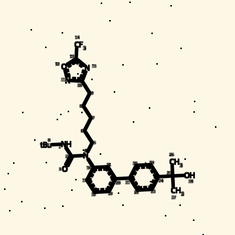 CC(C)(C)NC(=O)N(CCCCCc1noc(C(F)(F)F)n1)c1cccc(-c2ccc(C(C)(C)O)cc2)c1